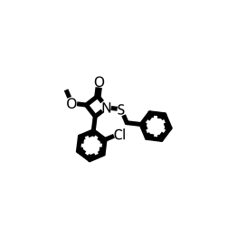 COC1C(=O)N(SCc2ccccc2)C1c1ccccc1Cl